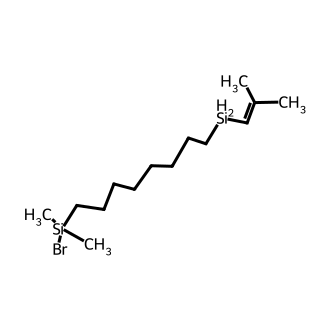 CC(C)=C[SiH2]CCCCCCCC[Si](C)(C)Br